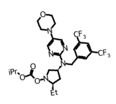 CC[C@@H]1C[C@H](N(Cc2cc(C(F)(F)F)cc(C(F)(F)F)c2)c2ncc(N3CCOCC3)cn2)CN1OC(=O)OC(C)C